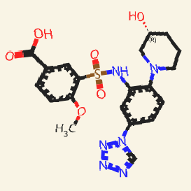 COc1ccc(C(=O)O)cc1S(=O)(=O)Nc1cc(-n2cnnn2)ccc1N1CCC[C@@H](O)C1